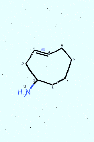 NC1C/C=C/CCCC1